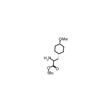 CO[C@H]1CC[C@H](CC(N)C(=O)OC(C)(C)C)CC1